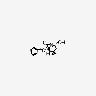 O=C1N2C[C@@H](N1OCc1ccccc1)C1(CC1)C[C@H]2CO